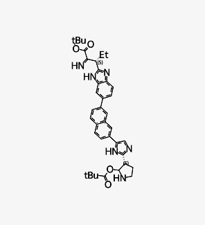 CC[C@@H](C(=N)C(=O)OC(C)(C)C)c1nc2ccc(-c3ccc4ccc(-c5cnc([C@@H]6CCNC6OC(=O)C(C)(C)C)[nH]5)cc4c3)cc2[nH]1